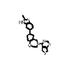 Cc1nc2ccc(-c3ccc4c(c3)CN(c3ncnc5c3CSC5)CCO4)cc2[nH]1